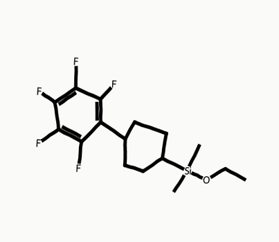 CCO[Si](C)(C)C1CCC(c2c(F)c(F)c(F)c(F)c2F)CC1